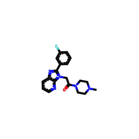 CN1CCN(C(=O)Cn2c(-c3cccc(F)c3)nc3cccnc32)CC1